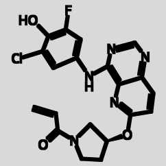 C=CC(=O)N1CC[C@H](Oc2ccc3ncnc(Nc4cc(F)c(O)c(Cl)c4)c3n2)C1